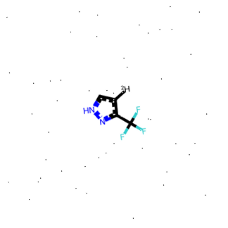 [2H]c1c[nH]nc1C(F)(F)F